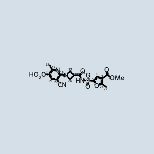 COC(=O)c1cc(S(=O)(=O)NC(=O)C2CN(c3nc(C)c(C(=O)O)cc3C#N)C2)oc1C